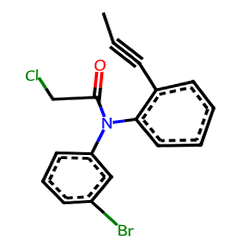 CC#Cc1ccccc1N(C(=O)CCl)c1cccc(Br)c1